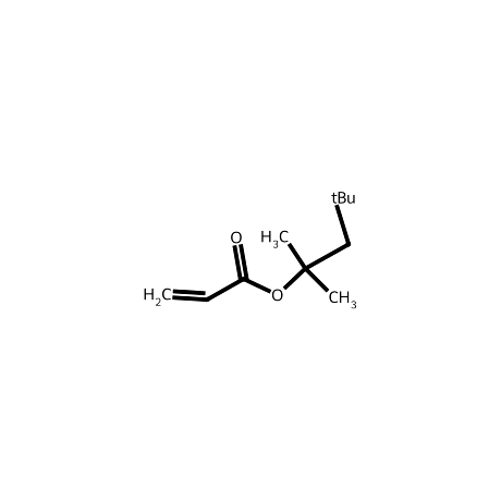 C=CC(=O)OC(C)(C)CC(C)(C)C